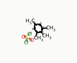 Cc1cc(C)c(C)c(C)c1.O=S(=O)(Cl)Cl